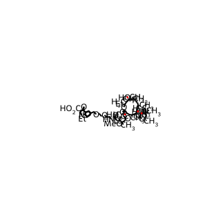 CC[C@H]1OC(=O)[C@H](C)[C@@H](O[C@H]2C[C@@](C)(OC)[C@@H](OC(=O)NCCOCCOCc3ccc4c(c3)c(=O)c(C(=O)O)cn4CC)[C@H](C)O2)[C@H](C)[C@@H](O[C@@H]2O[C@H](C)CC(N(C)C)[C@H]2O)[C@](C)(O)C[C@@H](C)CN(C)[C@H](C)[C@@H](O)[C@]1(C)O